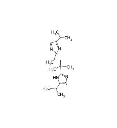 CC(C)c1cnn(C(C)CC(C)(C)c2nnc(C(C)C)[nH]2)n1